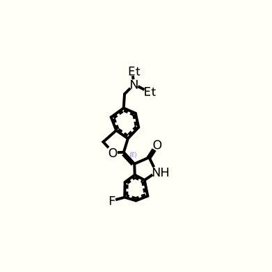 CCN(CC)Cc1ccc2c(c1)CO/C2=C1/C(=O)Nc2ccc(F)cc21